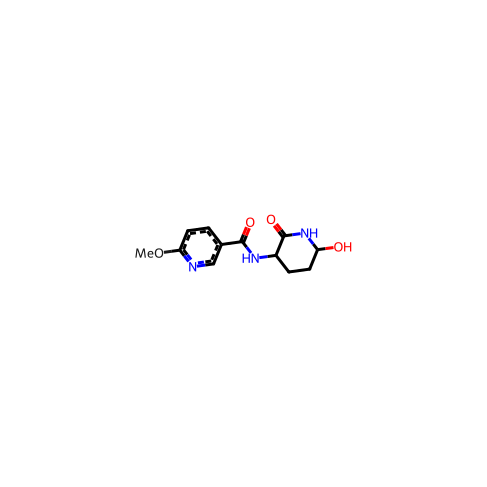 COc1ccc(C(=O)NC2CCC(O)NC2=O)cn1